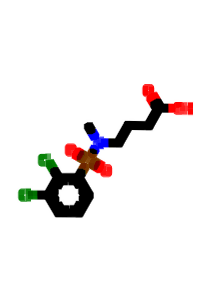 CN(CCCC(=O)O)S(=O)(=O)c1cccc(Cl)c1Cl